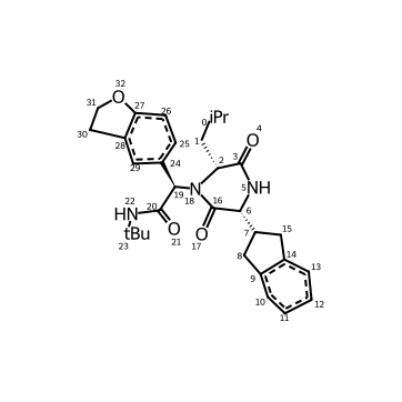 CC(C)C[C@@H]1C(=O)N[C@H](C2Cc3ccccc3C2)C(=O)N1[C@@H](C(=O)NC(C)(C)C)c1ccc2c(c1)CCO2